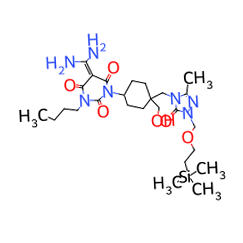 CCCCN1C(=O)C(=C(N)N)C(=O)N(C2CCC(CO)(Cn3c(C)nn(COCC[Si](C)(C)C)c3=O)CC2)C1=O